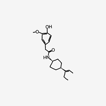 CC=C(CC)[C@H]1CC[C@@H](NC(=O)Cc2ccc(O)c(OC)c2)CC1